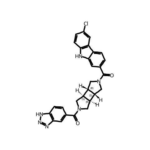 O=C(c1ccc2[nH]nnc2c1)N1C[C@@H]2[C@H](C1)[C@H]1CN(C(=O)c3ccc4c(c3)[nH]c3ccc(Cl)cc34)C[C@@H]21